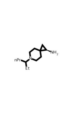 CCCC(CC)N1CCC2(CC1)C[C@H]2N